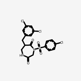 O=C1CN(S(=O)(=O)c2ccc(Cl)cc2)C(=O)C(Cc2cc(Cl)cc(Cl)c2)CN1